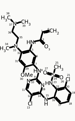 C=CC(=O)Nc1cc(Nc2ncc(Cl)c(Nc3cccc(Cl)c3NS(C)(=O)=O)n2)c(OC)cc1N(C)CCN(C)C